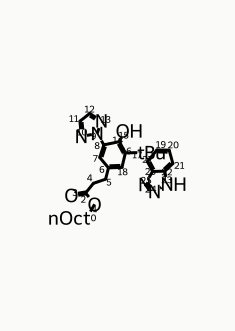 CCCCCCCCOC(=O)CCc1cc(-n2nccn2)c(O)c(C(C)(C)C)c1.c1ccc2[nH]nnc2c1